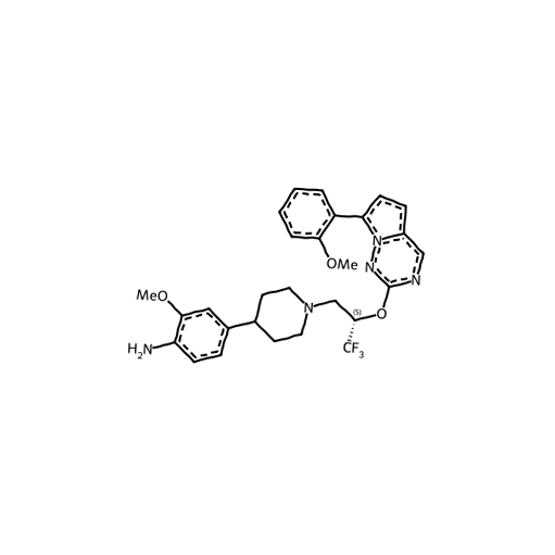 COc1cc(C2CCN(C[C@H](Oc3ncc4ccc(-c5ccccc5OC)n4n3)C(F)(F)F)CC2)ccc1N